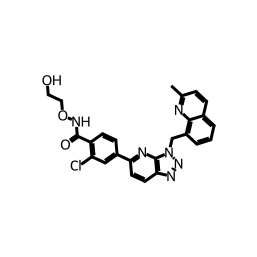 Cc1ccc2cccc(Cn3nnc4ccc(-c5ccc(C(=O)NOCCO)c(Cl)c5)nc43)c2n1